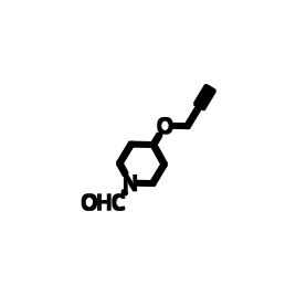 C#CCOC1CCN(C=O)CC1